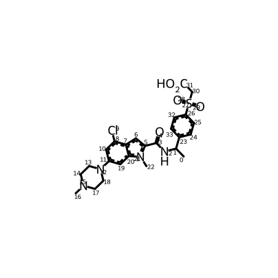 CC(NC(=O)c1cc2c(Cl)cc(N3CCN(C)CC3)cc2n1C)c1ccc(S(=O)(=O)CC(=O)O)cc1